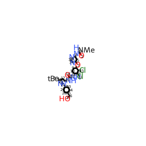 CNC(=O)Nc1cc(Oc2ccc(NC(=O)Nc3cc(C(C)(C)C)nn3-c3ccc(CO)cc3)c(Cl)c2Cl)ncn1